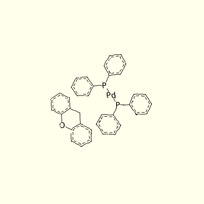 c1ccc([P]([Pd][P](c2ccccc2)c2ccccc2)c2ccccc2)cc1.c1ccc2c(c1)Cc1ccccc1O2